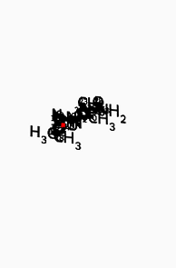 Cc1cc(-c2noc(-c3cncc4c3CCC(C)(C)C4)n2)cc(C)c1CCC(N)=O